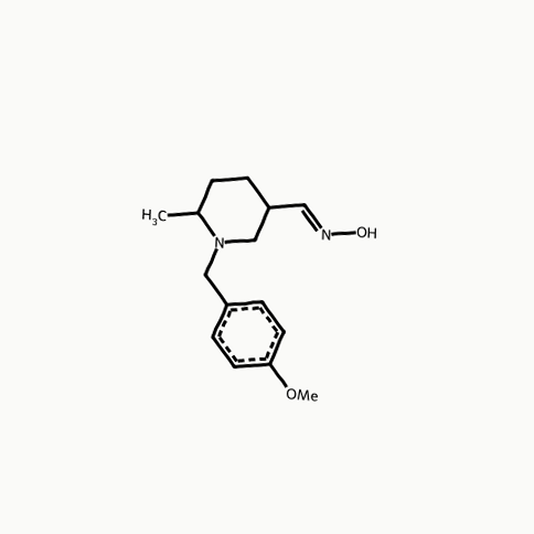 COc1ccc(CN2CC(C=NO)CCC2C)cc1